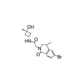 CC1CN(CC(=O)N[C@H]2C[C@@](C)(O)C2)C(=O)c2ccc(Br)cc21